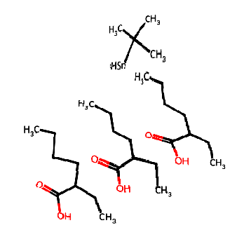 CCCCC(CC)C(=O)O.CCCCC(CC)C(=O)O.CCCCC(CC)C(=O)O.C[C](C)(C)[SnH]